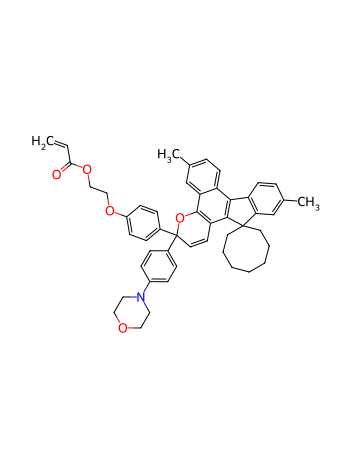 C=CC(=O)OCCOc1ccc(C2(c3ccc(N4CCOCC4)cc3)C=Cc3c4c(c5ccc(C)cc5c3O2)-c2ccc(C)cc2C42CCCCCCC2)cc1